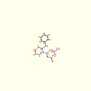 CCCC(O[N+](=O)[O-])N1CCOCC1Cc1ccccc1